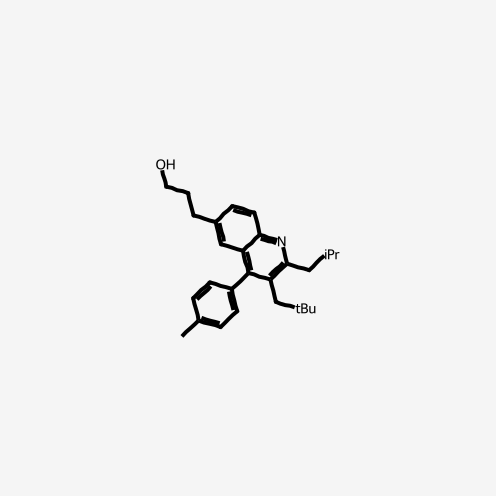 Cc1ccc(-c2c(CC(C)(C)C)c(CC(C)C)nc3ccc(CCCO)cc23)cc1